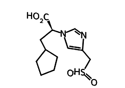 O=C(O)[C@H](CC1CCCC1)n1cnc(C[SH](=O)=O)c1